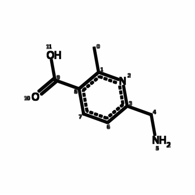 Cc1nc(CN)ccc1C(=O)O